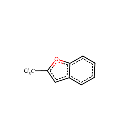 ClC(Cl)(Cl)c1cc2ccccc2o1